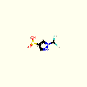 O=S(O)c1cnn(C(F)F)c1